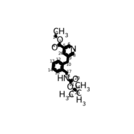 CCOC(=O)c1cncc(Cc2ccccc2CNC(=O)OC(C)(C)C)c1